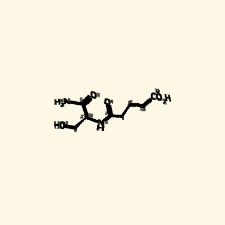 NC(=O)[C@H](CO)NC(=O)CCCC(=O)O